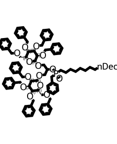 CCCCCCCCCCCCCCCCCCP(=O)(Cc1ccccc1)OC(CO[C@@H]1O[C@H](COCc2ccccc2)[C@@H](OCc2ccccc2)[C@H](OCc2ccccc2)[C@@H]1OCc1ccccc1)CO[C@@H]1O[C@H](COCc2ccccc2)[C@@H](OCc2ccccc2)[C@H](OCc2ccccc2)[C@@H]1OCc1ccccc1